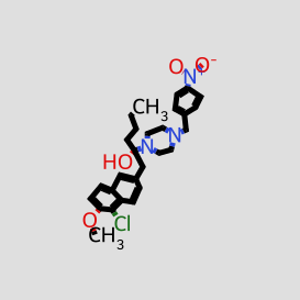 CCCCC(O)(Cc1ccc2c(Cl)c(OC)ccc2c1)N1CCN(Cc2ccc([N+](=O)[O-])cc2)CC1